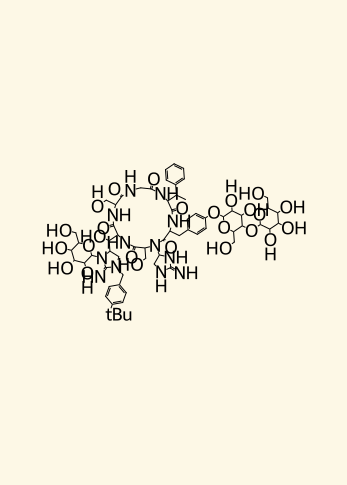 CC(c1ccccc1)C1NC(=O)CNC(=O)C(CO)NC(=O)C(C(O)C2CN(Cc3ccc(C(C)(C)C)cc3)C(=N)N2C2OC(CO)C(O)C(O)C2O)NC(=O)C(CO)N(C2CNC(=N)N2)C(=O)C(Cc2ccc(OC3OC(CO)C(OC4OC(CO)C(O)C(O)C4O)C(O)C3O)cc2)NC1=O